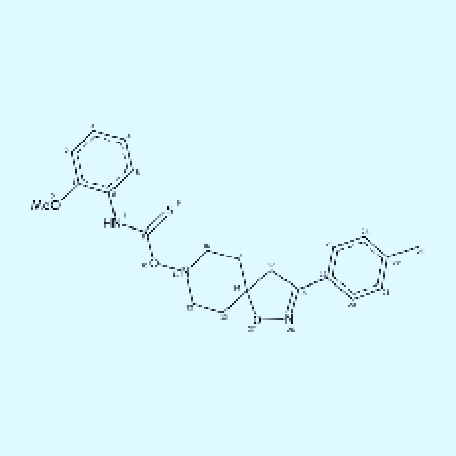 COc1ccccc1NC(=S)ON1CCC2(CC1)CC(c1ccc(C)cc1)=NO2